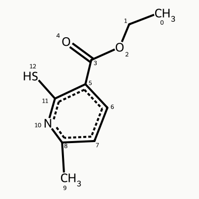 CCOC(=O)c1ccc(C)nc1S